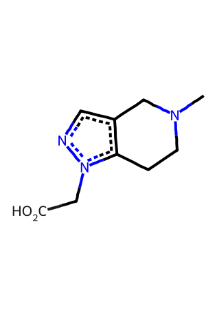 CN1CCc2c(cnn2CC(=O)O)C1